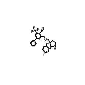 N#Cc1c(COCC2(Cc3ccc(F)cc3F)CCNCC2)cc(-c2ccccc2)cc1C(F)(F)F